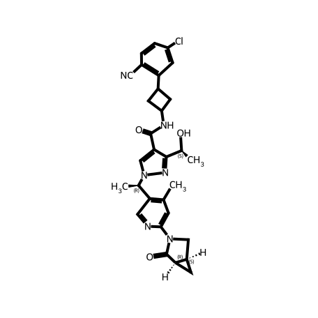 Cc1cc(N2C[C@H]3C[C@H]3C2=O)ncc1[C@@H](C)n1cc(C(=O)NC2CC(c3cc(Cl)ccc3C#N)C2)c([C@H](C)O)n1